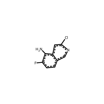 Nc1c(F)ccc2cnc(Cl)cc12